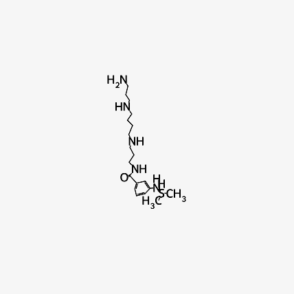 C[SH](C)Nc1cccc(C(=O)NCCCNCCCCNCCCN)c1